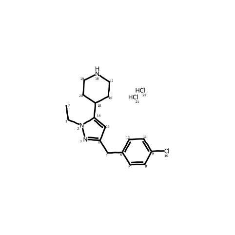 CCn1nc(Cc2ccc(Cl)cc2)cc1C1CCNCC1.Cl.Cl